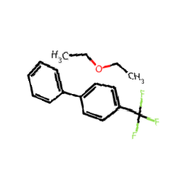 CCOCC.FC(F)(F)c1ccc(-c2ccccc2)cc1